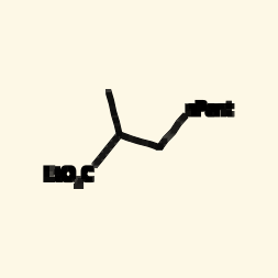 CCCCCCC(C)C(=O)OCC